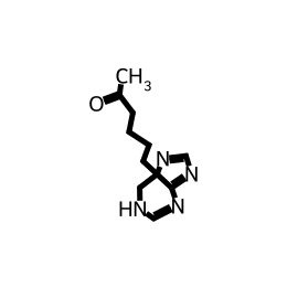 CC(=O)CCCCC12CNC=NC1=NC=N2